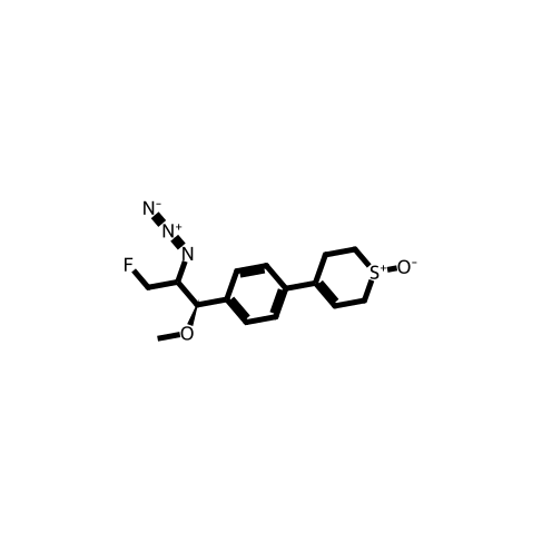 CO[C@H](c1ccc(C2=CC[S+]([O-])CC2)cc1)C(CF)N=[N+]=[N-]